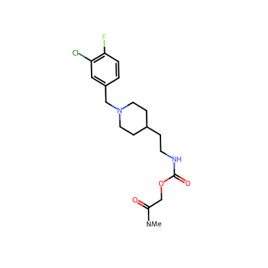 CNC(=O)COC(=O)NCCC1CCN(Cc2ccc(F)c(Cl)c2)CC1